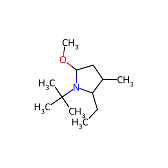 CCC1C(C)CC(OC)N1C(C)(C)C